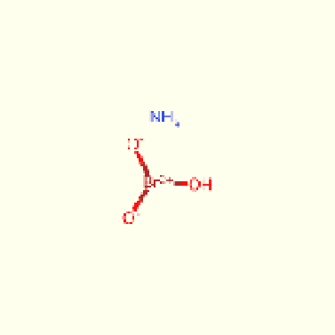 N.[O-][Br+2]([O-])O